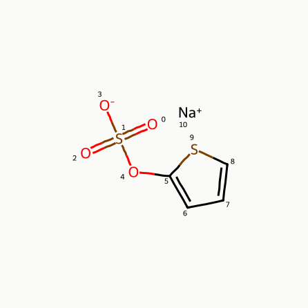 O=S(=O)([O-])Oc1cccs1.[Na+]